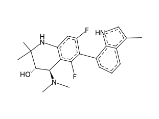 Cc1c[nH]c2c(-c3c(F)cc4c(c3F)[C@@H](N(C)C)[C@H](O)C(C)(C)N4)cccc12